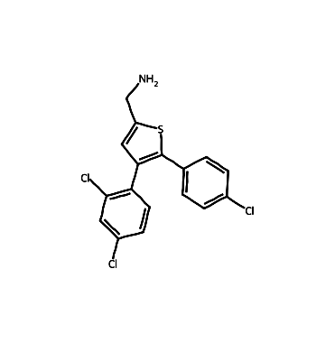 NCc1cc(-c2ccc(Cl)cc2Cl)c(-c2ccc(Cl)cc2)s1